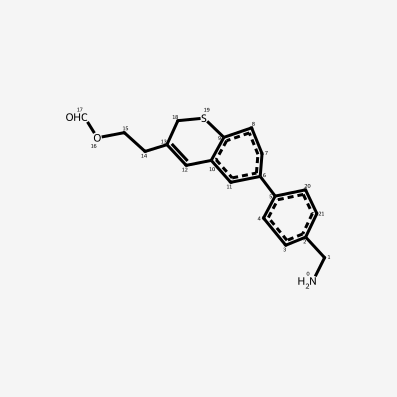 NCc1ccc(-c2ccc3c(c2)C=C(CCOC=O)CS3)cc1